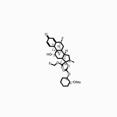 CO[C@@H]1CCCC[C@H]1OC(=O)O[C@]1(C(=O)OCF)[C@H](C)C[C@H]2[C@@H]3C[C@H](F)C4=CC(=O)C=C[C@]4(C)[C@@]3(F)[C@@H](O)C[C@@]21C